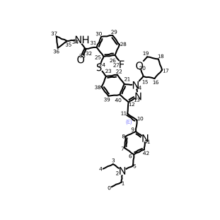 CCN(CC)Cc1ccc(/C=C/c2nn(C3CCCCO3)c3cc(Sc4c(F)cccc4C(=O)NC4CC4)ccc23)nc1